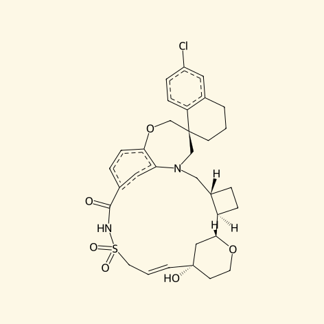 O=C1NS(=O)(=O)C/C=C/[C@]2(O)CCO[C@H](C2)[C@@H]2CC[C@H]2CN2C[C@@]3(CCCc4cc(Cl)ccc43)COc3ccc1cc32